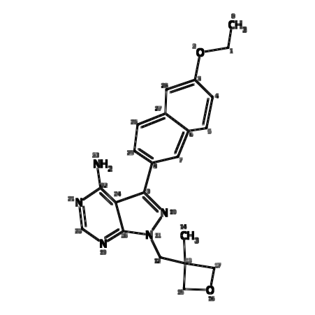 CCOc1ccc2cc(-c3nn(CC4(C)COC4)c4ncnc(N)c34)ccc2c1